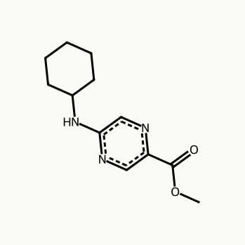 COC(=O)c1cnc(NC2CCCCC2)cn1